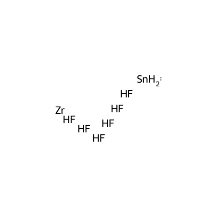 F.F.F.F.F.F.[SnH2].[Zr]